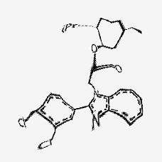 CC(C)[C@@H]1CC[C@@H](C)C[C@H]1OC(=O)Cn1c(-c2ccc(Cl)c(Cl)c2)nc2ccccc21